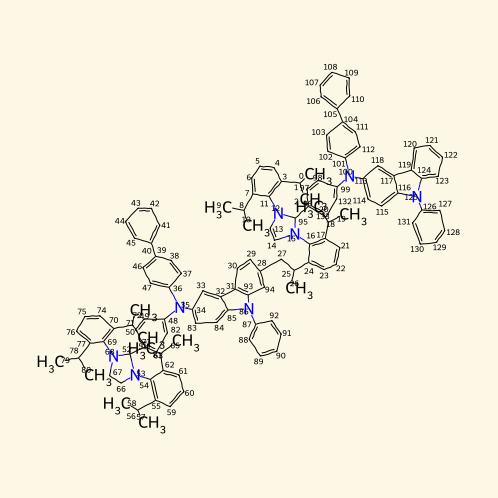 CC(C)c1cccc(C(C)C)c1N1C=CN(c2c(C(C)C)cccc2C(C)Cc2ccc3c4cc(N(c5ccc(-c6ccccc6)cc5)c5ccc(C6N(c7c(C(C)C)cccc7C(C)C)CCN6c6c(C(C)C)cccc6C(C)C)cc5)ccc4n(-c4ccccc4)c3c2)C1c1ccc(N(c2ccc(-c3ccccc3)cc2)c2ccc3c(c2)c2ccccc2n3-c2ccccc2)cc1